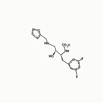 O=C(O)N[C@@H](Cc1cc(F)cc(F)c1)[C@@H](O)CNCc1ccco1